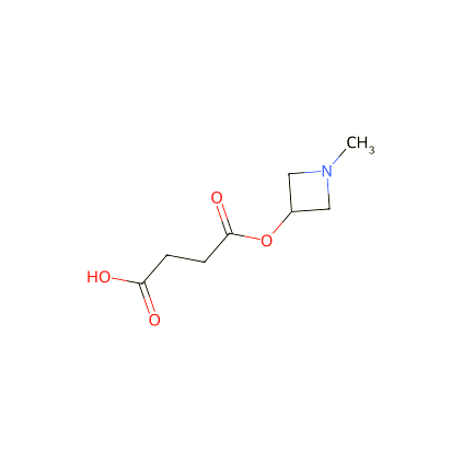 CN1CC(OC(=O)CCC(=O)O)C1